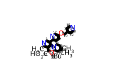 Cc1ncc(-c2ccc(OCc3ccncc3)cn2)c(N2CCC(C)(C)CC2)c1[C@H](OC(C)(C)C)C(=O)O